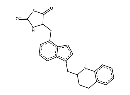 O=C1NC(Cc2cccc3c2ccn3CC2CCc3ccccc3N2)C(=O)S1